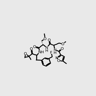 COCC(NC(=O)c1cc(C)on1)C(=O)N[C@@H](COC)C(=O)NC(Cc1cccc(CF)c1)C(=O)C1(C)CO1